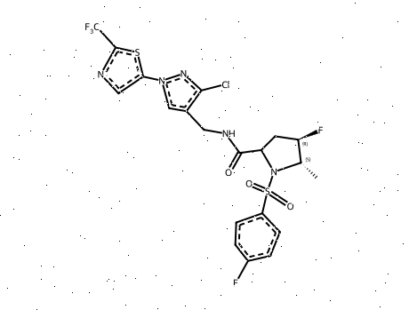 C[C@H]1[C@H](F)CC(C(=O)NCc2cn(-c3cnc(C(F)(F)F)s3)nc2Cl)N1S(=O)(=O)c1ccc(F)cc1